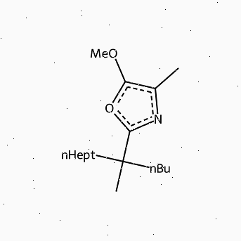 CCCCCCCC(C)(CCCC)c1nc(C)c(OC)o1